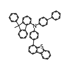 CC1(c2ccccc2)c2ccccc2-c2c(N(c3ccc(-c4ccccc4)cc3)c3ccc(-c4cccc5c4sc4ccccc45)cc3)cccc21